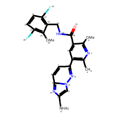 COc1nc(C)c(-c2ccc3nc(NC(C)=O)cn3n2)cc1C(=O)NCc1c(F)ccc(F)c1OC